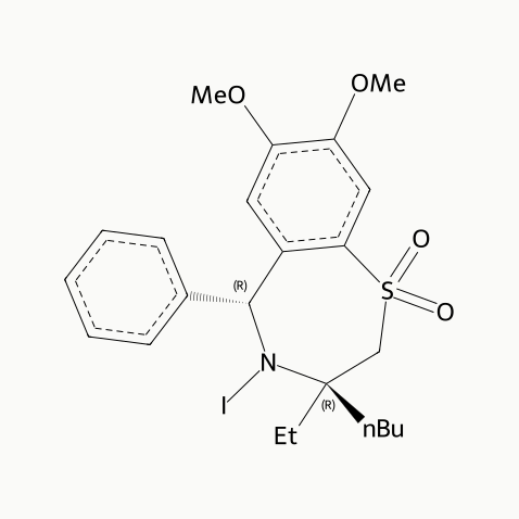 CCCC[C@]1(CC)CS(=O)(=O)c2cc(OC)c(OC)cc2[C@@H](c2ccccc2)N1I